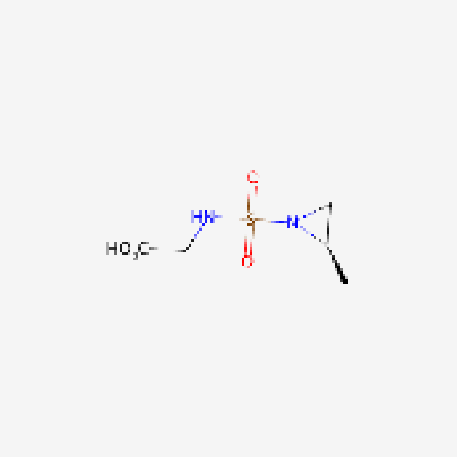 C[C@@H]1CN1S(=O)(=O)NCC(=O)O